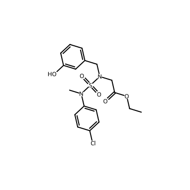 CCOC(=O)CN(Cc1cccc(O)c1)S(=O)(=O)N(C)c1ccc(Cl)cc1